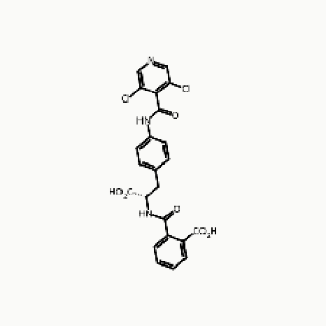 O=C(O)c1ccccc1C(=O)N[C@@H](Cc1ccc(NC(=O)c2c(Cl)cncc2Cl)cc1)C(=O)O